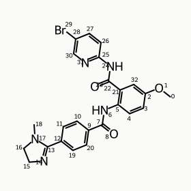 COc1ccc(NC(=O)c2ccc(C3=NCCN3C)cc2)c(C(=O)Nc2ccc(Br)cn2)c1